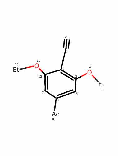 C#Cc1c(OCC)cc(C(C)=O)cc1OCC